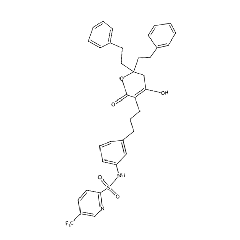 O=C1OC(CCc2ccccc2)(CCc2ccccc2)CC(O)=C1CCCc1cccc(NS(=O)(=O)c2ccc(C(F)(F)F)cn2)c1